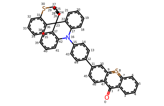 O=c1c2ccccc2sc2cc(-c3ccc(N4c5ccccc5C5(c6ccccc6Sc6ccccc65)c5ccccc54)cc3)ccc12